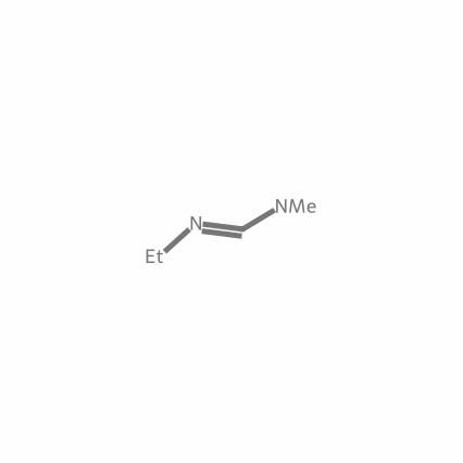 CCN=CNC